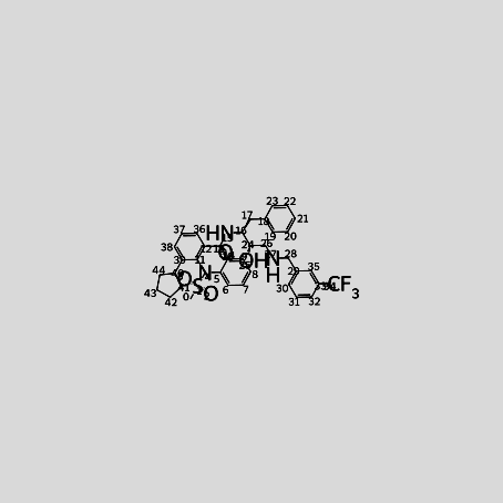 CS(=O)(=O)N(c1ccccc1)c1c(C(=O)N[C@@H](Cc2ccccc2)[C@H](O)CNCc2cccc(C(F)(F)F)c2)cccc1C1CCCC1